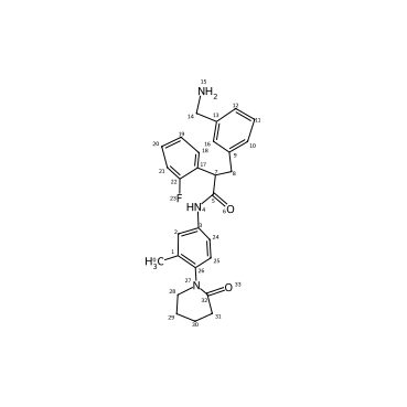 Cc1cc(NC(=O)C(Cc2cccc(CN)c2)c2ccccc2F)ccc1N1CCCCC1=O